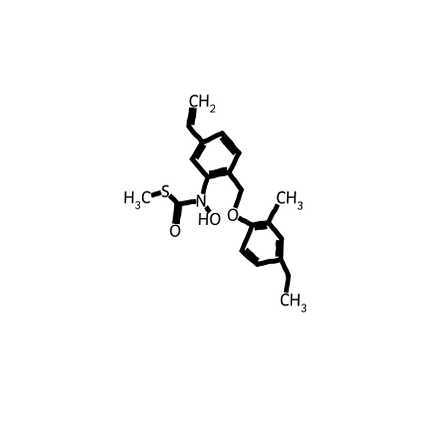 C=Cc1ccc(COc2ccc(CC)cc2C)c(N(O)C(=O)SC)c1